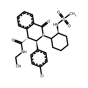 CS(=O)(=O)N[C@H]1CCCCC1N1C(=O)c2ccccc2[C@@H](C(=O)NCC#N)[C@@H]1c1ccc(Cl)cc1